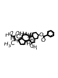 CC(C(O)CO)[C@H]1CC[C@H]2[C@@H]3C(O)CC4CC(OC(=O)c5ccccc5)CC[C@]4(C)[C@H]3CC[C@]12C